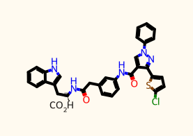 O=C(Cc1cccc(NC(=O)c2cn(-c3ccccc3)nc2-c2ccc(Cl)s2)c1)N[C@@H](Cc1c[nH]c2ccccc12)C(=O)O